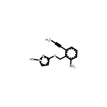 CC#Cc1cccc([N+](=O)[O-])c1COc1ccn(S)n1